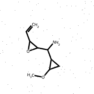 C=CC1OC1C(N)C1CC1OC